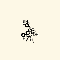 CCC(C)C[C@]1(c2ccccc2)CC[C@]2(CC1)CN(Cc1ccc(OC)cc1)C(=O)N2CC(=O)O